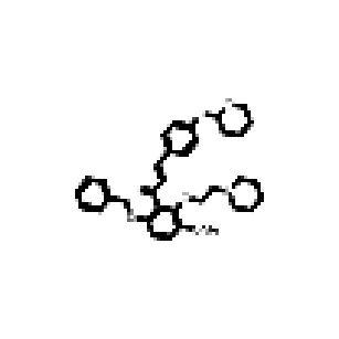 COc1ccc(OCc2ccccc2)c(C(=O)C=Cc2ccc(OC3CCCCO3)cc2)c1OCCN1CCCCC1